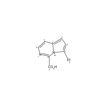 CCc1ccc2ccnc(C(=O)O)n12